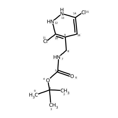 CC(C)(C)OC(=O)NCC1=C(Cl)NNC(Cl)=C1